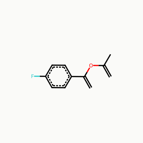 C=C(C)OC(=C)c1ccc(F)cc1